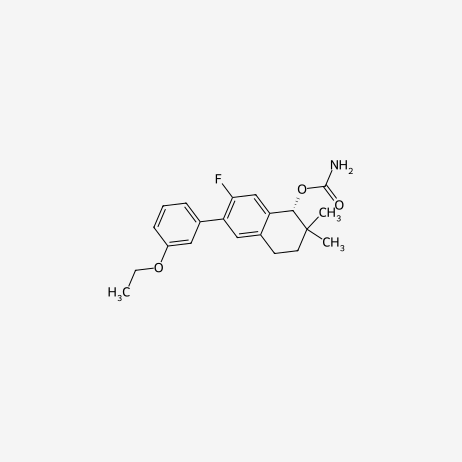 CCOc1cccc(-c2cc3c(cc2F)[C@H](OC(N)=O)C(C)(C)CC3)c1